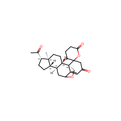 CC(=O)[C@H]1CC[C@H]2[C@@H]3CC4OC[C@]5(C4=CC(=O)CC54OC(=O)CCC4=O)[C@H]3CC[C@]12C